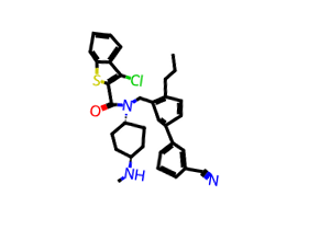 CCCc1ccc(-c2cccc(C#N)c2)cc1CN(C(=O)c1sc2ccccc2c1Cl)[C@H]1CC[C@H](NC)CC1